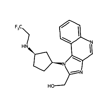 OCc1nc2cnc3ccccc3c2n1[C@H]1CC[C@@H](NCC(F)(F)F)C1